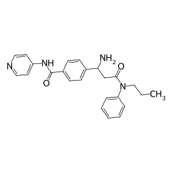 CCCN(C(=O)CC(N)c1ccc(C(=O)Nc2ccncc2)cc1)c1ccccc1